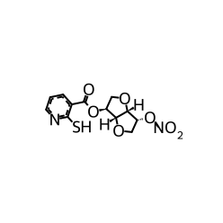 O=C(O[C@H]1CO[C@H]2[C@@H]1OC[C@H]2O[N+](=O)[O-])c1cccnc1S